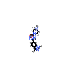 Cc1nn(C)c2cc(-c3noc(N4CCN(C)CC4)n3)ccc12